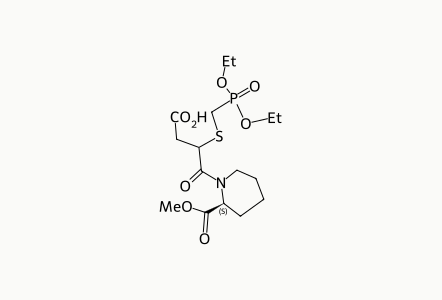 CCOP(=O)(CSC(CC(=O)O)C(=O)N1CCCC[C@H]1C(=O)OC)OCC